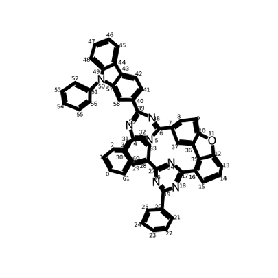 c1ccc(-c2nc(-c3ccc4oc5cccc(-c6nc(-c7ccccc7)nc(-c7ccccc7)n6)c5c4c3)nc(-c3ccc4c5ccccc5n(-c5ccccc5)c4c3)n2)cc1